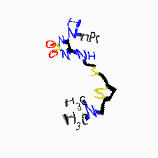 CCCNC1=NS(=O)(=O)N=C1NCCSCc1ccc(CN(C)C)s1